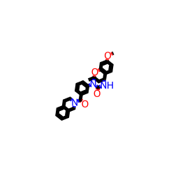 COc1ccc2c(c1)OC1(C)CC2NC(=O)N1c1cccc(C(=O)N2CCc3ccccc3C2)c1